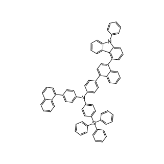 c1ccc(-n2c3ccccc3c3c(-c4ccc(-c5ccc(N(c6ccc(-c7cccc8ccccc78)cc6)c6ccc([Si](c7ccccc7)(c7ccccc7)c7ccccc7)cc6)cc5)c5ccccc45)cccc32)cc1